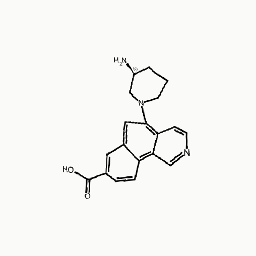 N[C@H]1CCCN(c2cc3cc(C(=O)O)ccc3c3cnccc23)C1